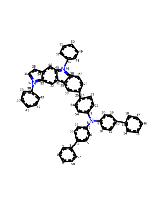 c1ccc(-c2ccc(N(c3ccc(-c4ccccc4)cc3)c3ccc(-c4ccc5c(c4)c4cc6c(ccn6-c6ccccc6)cc4n5-c4ccccc4)cc3)cc2)cc1